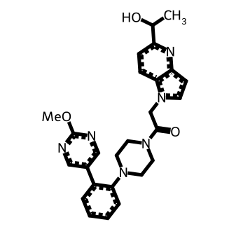 COc1ncc(-c2ccccc2N2CCN(C(=O)Cn3ccc4nc(C(C)O)ccc43)CC2)cn1